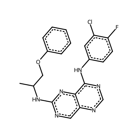 CC(COc1ccccc1)Nc1ncc2ncnc(Nc3ccc(F)c(Cl)c3)c2n1